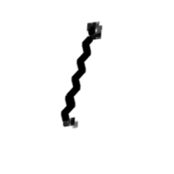 CCC=CCCCCCCNN